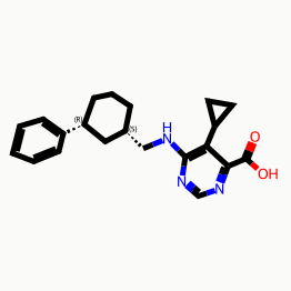 O=C(O)c1ncnc(NC[C@H]2CCC[C@@H](c3ccccc3)C2)c1C1CC1